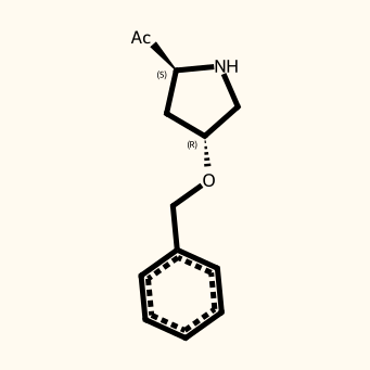 CC(=O)[C@@H]1C[C@@H](OCc2ccccc2)CN1